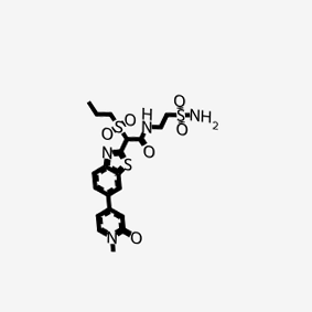 CCCS(=O)(=O)C(C(=O)NCCS(N)(=O)=O)c1nc2ccc(-c3ccn(C)c(=O)c3)cc2s1